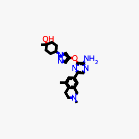 Cc1cc(-c2cnc(N)c(Oc3cnn(C4CCC(C)(O)CC4)c3)n2)cc2c1CCN(C)C2